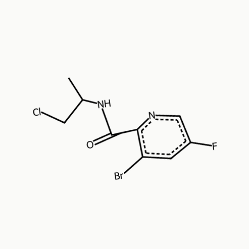 CC(CCl)NC(=O)c1ncc(F)cc1Br